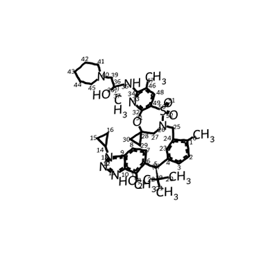 Cc1ccc([C@H](c2ccc3c(nnn3C3CC3)c2C)C(C)(C)C(=O)O)cc1CN1CC2(CC2)Oc2nc(N[C@@](C)(O)CN3CCCCC3)c(C)cc2S1(=O)=O